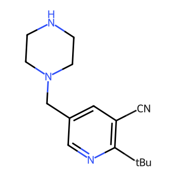 CC(C)(C)c1ncc(CN2CCNCC2)cc1C#N